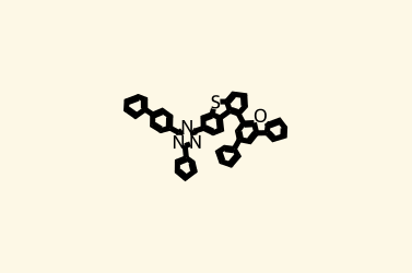 c1ccc(-c2ccc(-c3nc(-c4ccccc4)nc(-c4ccc5c(c4)sc4cccc(-c6cc(-c7ccccc7)cc7c6oc6ccccc67)c45)n3)cc2)cc1